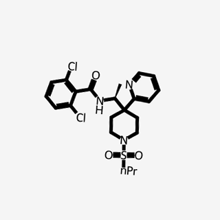 CCCS(=O)(=O)N1CCC(c2ccccn2)([C@H](C)NC(=O)c2c(Cl)cccc2Cl)CC1